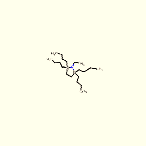 CCCC[Si]1(CCCC)CC[Si](CCCC)(CCCC)N1CC